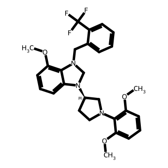 COc1cccc(OC)c1N1CC[C@@H](N2CN(Cc3ccccc3C(F)(F)F)c3c(OC)cccc32)C1